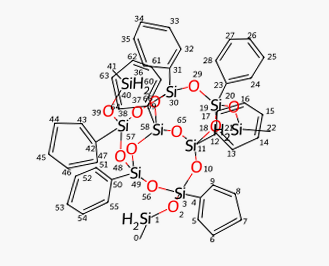 C[SiH2]O[Si]1(c2ccccc2)O[Si]2(c3ccccc3)O[Si](O[SiH2]C)(c3ccccc3)O[Si]3(c4ccccc4)O[Si](O[SiH2]C)(c4ccccc4)O[Si](c4ccccc4)(O1)O[Si](c1ccccc1)(O2)O3